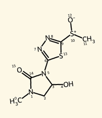 CN1CC(O)N(c2nnc([S+](C)[O-])s2)C1=O